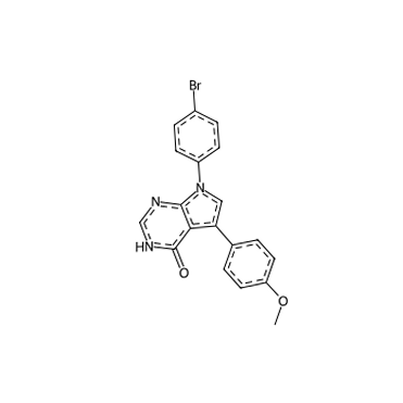 COc1ccc(-c2cn(-c3ccc(Br)cc3)c3nc[nH]c(=O)c23)cc1